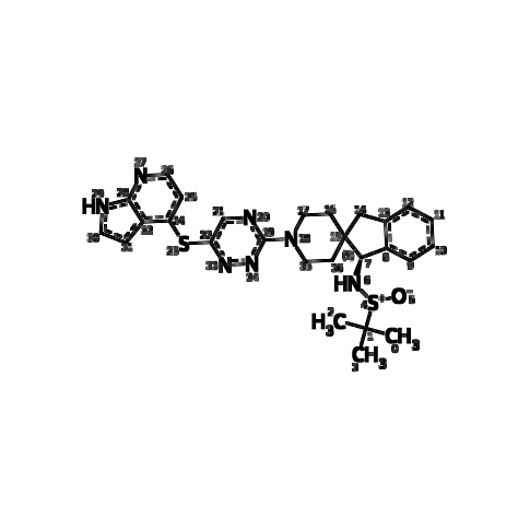 CC(C)(C)[S+]([O-])N[C@@H]1c2ccccc2CC12CCN(c1ncc(Sc3ccnc4[nH]ccc34)nn1)CC2